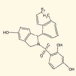 C/C=C\c1c(C)cccc1C1c2ccc(O)cc2CN1S(=O)(=O)c1ccc(O)cc1O